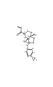 C=CC(=O)N1CC[C@@H]2CCN(Cc3ccc(C(F)(F)F)cc3)[C@@H]2C1